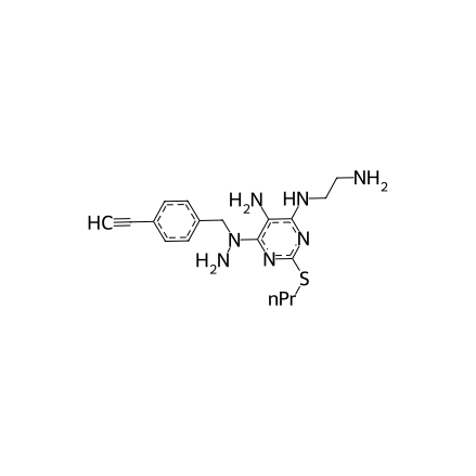 C#Cc1ccc(CN(N)c2nc(SCCC)nc(NCCN)c2N)cc1